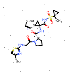 CCCCC/C=C\[C@@H]1C[C@]1(NC(=O)[C@@H]1CCCN1C(=O)CNc1nc(C(C)(C)C)cs1)C(=O)NS(=O)(=O)C1(C)CC1